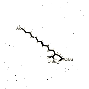 CC(=O)CCCCCC/C=C/CCCC(CC(=O)OCC(C)C)C(=O)OCC(C)C